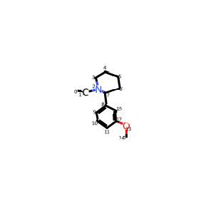 CCN1CCCCC1c1cccc(OC)c1